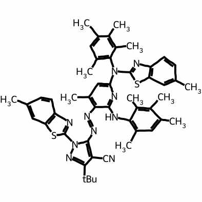 Cc1ccc2nc(N(c3cc(C)c(N=Nc4c(C#N)c(C(C)(C)C)nn4-c4nc5ccc(C)cc5s4)c(Nc4c(C)cc(C)c(C)c4C)n3)c3c(C)cc(C)c(C)c3C)sc2c1